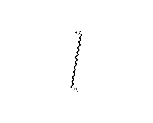 C=CCCCCCCCCCCCCCCCCCCCCC=C